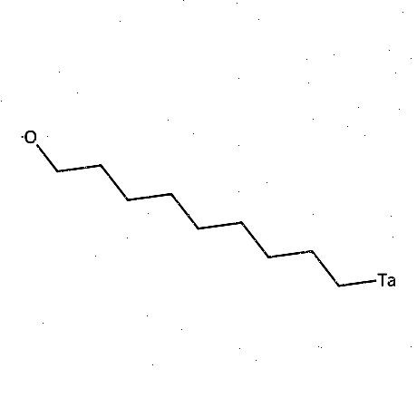 [O]CCCCCCCC[CH2][Ta]